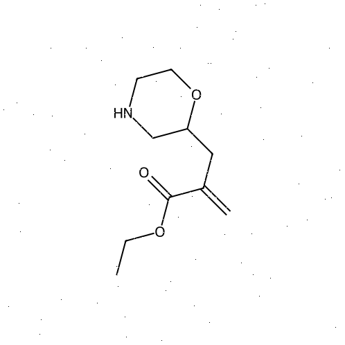 C=C(CC1CNCCO1)C(=O)OCC